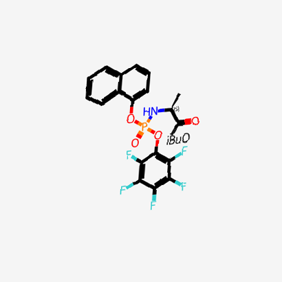 CC(C)COC(=O)[C@H](C)NP(=O)(Oc1c(F)c(F)c(F)c(F)c1F)Oc1cccc2ccccc12